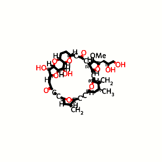 C=C1C[C@@H]2CCC(=O)C[C@@H]3O[C@H]4[C@@H](O)[C@H]5O[C@H](CC[C@@H]5O[C@H]4[C@H]3O)CC(=O)C[C@@H]3[C@@H](OC)[C@@H](C[C@H](O)CO)O[C@H]3C[C@H]3O[C@@H](CC[C@@H]1O2)C[C@@H](C)C3=C